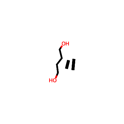 C=C.C=C.OCCCCO